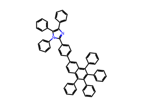 c1ccc(-c2nc(-c3ccc(-c4ccc5c(-c6ccccc6)c(-c6ccccc6)c(-c6ccccc6)c(-c6ccccc6)c5c4)cc3)n(-c3ccccc3)c2-c2ccccc2)cc1